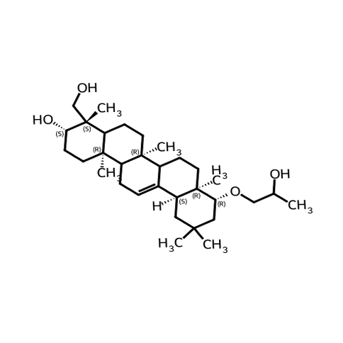 CC(O)CO[C@@H]1CC(C)(C)C[C@H]2C3=CCC4[C@@](C)(CCC5[C@]4(C)CC[C@H](O)[C@]5(C)CO)C3CC[C@@]12C